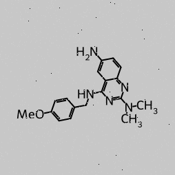 COc1ccc(CNc2nc(N(C)C)nc3ccc(N)cc23)cc1